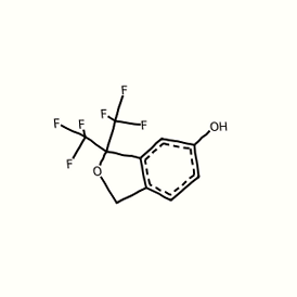 Oc1ccc2c(c1)C(C(F)(F)F)(C(F)(F)F)OC2